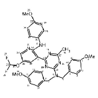 COc1ccc(CN(Cc2ccc(OC)cc2)c2nc(C)nc(-c3cc(OC(F)F)cnc3Nc3ccc(OC)nc3)n2)cc1